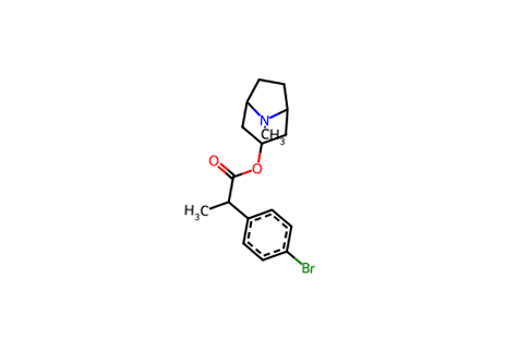 CC(C(=O)OC1CC2CCC(C1)N2C)c1ccc(Br)cc1